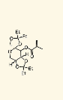 C=C(C)C(=O)O[C@H]1[C@@H]2OC(CC)(CC)O[C@@H]2CO[C@]12COC(CC)(CC)O2